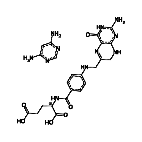 Nc1cc(N)ncn1.Nc1nc2c(c(=O)[nH]1)N=C(CNc1ccc(C(=O)N[C@@H](CCC(=O)O)C(=O)O)cc1)CN2